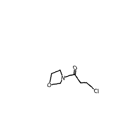 O=C(CCCl)N1CCOC1